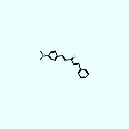 CN(C)c1ccc(C=CC(=O)C=Cc2ccccc2)cc1